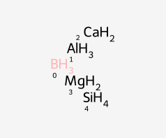 B.[AlH3].[CaH2].[MgH2].[SiH4]